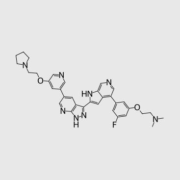 CN(C)CCOc1cc(F)cc(-c2cncc3[nH]c(-c4n[nH]c5ncc(-c6cncc(OCCN7CCCC7)c6)cc45)cc23)c1